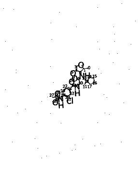 C[C@@H]1OCC(=O)C1NC(=O)[C@H](CC1(C)CCCC1)NC(=O)c1ccc(NS(C)(=O)=O)c(Cl)c1